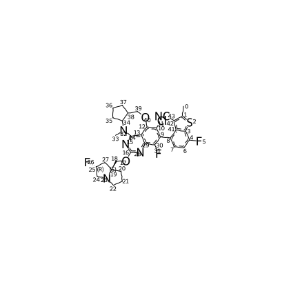 Cc1sc2c(F)ccc(-c3c(Cl)c4c5c(nc(OC[C@@]67CCCN6C[C@H](F)C7)nc5c3F)N(C)C3CCCC3CO4)c2c1C#N